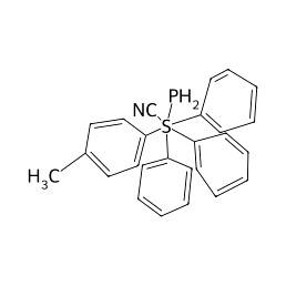 Cc1ccc(S(P)(C#N)(c2ccccc2)(c2ccccc2)c2ccccc2)cc1